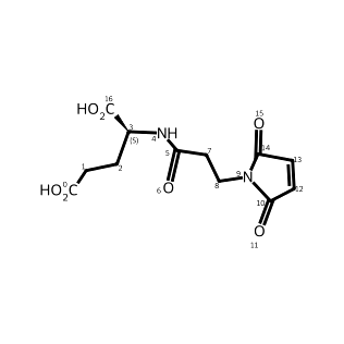 O=C(O)CC[C@H](NC(=O)CCN1C(=O)C=CC1=O)C(=O)O